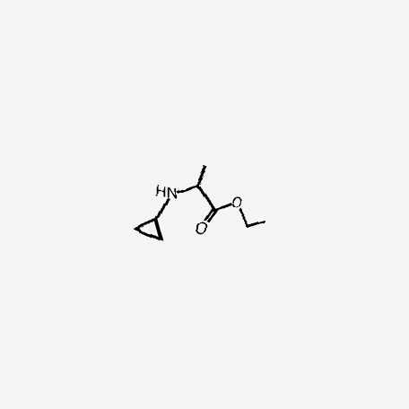 CCOC(=O)C(C)NC1CC1